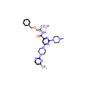 CN1CCN(c2nc(C(=O)N[C@@H](COCc3ccccc3)C(=O)O)cc(N3CCN(c4nccc(C(F)(F)F)n4)CC3)n2)CC1